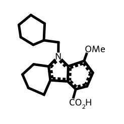 COc1ccc(C(=O)O)c2c3c(n(CC4CCCCC4)c12)CCCC3